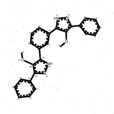 COc1c(-c2ccccc2)n[nH]c1-c1cccc(-c2[nH]nc(-c3ccccc3)c2OC)c1